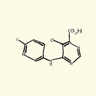 O=C(O)c1ncnc(Nc2ccc(F)nc2)c1Cl